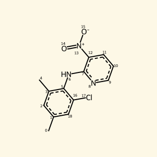 Cc1cc(C)c(Nc2ncccc2[N+](=O)[O-])c(Cl)c1